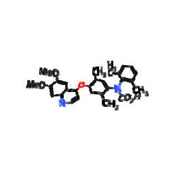 COc1cc2nccc(Oc3cc(C)c(N(C(=O)O)c4c(C)cccc4C)cc3C)c2cc1OC